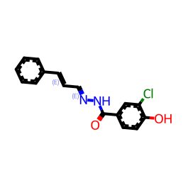 O=C(N/N=C/C=C/c1ccccc1)c1ccc(O)c(Cl)c1